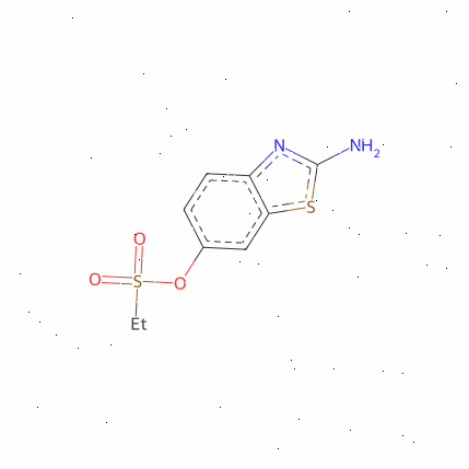 CCS(=O)(=O)Oc1ccc2nc(N)sc2c1